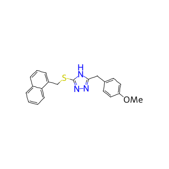 COc1ccc(Cc2nnc(SCc3cccc4ccccc34)[nH]2)cc1